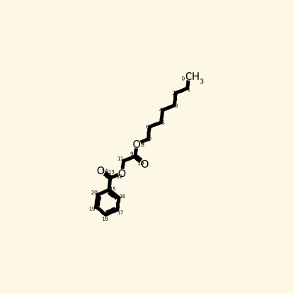 CCCCCCCCOC(=O)COC(=O)c1ccccc1